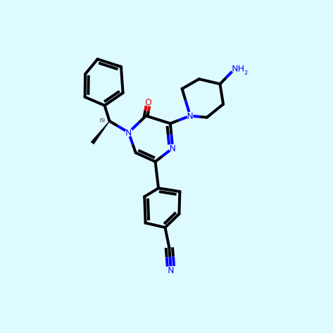 C[C@@H](c1ccccc1)n1cc(-c2ccc(C#N)cc2)nc(N2CCC(N)CC2)c1=O